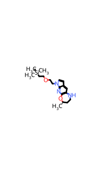 C[C@H]1CCNc2cc3ccn(CCOCC[Si](C)(C)C)c3nc2O1